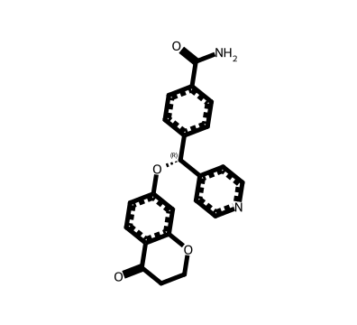 NC(=O)c1ccc([C@@H](Oc2ccc3c(c2)OCCC3=O)c2ccncc2)cc1